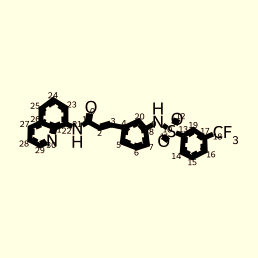 O=C(/C=C/c1cccc(NS(=O)(=O)c2cccc(C(F)(F)F)c2)c1)Nc1cccc2cccnc12